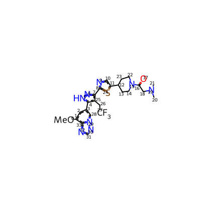 COc1cc(-c2[nH]nc(-c3ncc(C4CCN(C(=O)CN(C)C)CC4)s3)c2CC(F)(F)F)cn2ncnc12